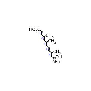 CCCC[C@H](O)/C=C(C)/C=C/C=C(C)/C=C(C)/C=C/C(=O)O